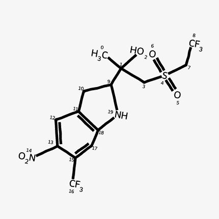 CC(O)(CS(=O)(=O)CC(F)(F)F)C1Cc2cc([N+](=O)[O-])c(C(F)(F)F)cc2N1